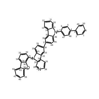 c1ccc(-c2ccc(-n3c4ccccc4c4cc(-c5ccc6c(c5)c5ccncc5n6-c5cccc6c5oc5ccccc56)ccc43)cc2)cc1